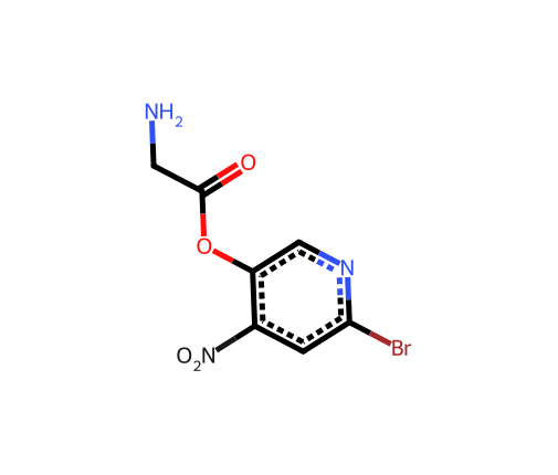 NCC(=O)Oc1cnc(Br)cc1[N+](=O)[O-]